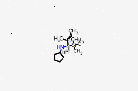 C/C=C(\C)[Si](CCC)(NC1CCCC1)[Si](C)(C)C